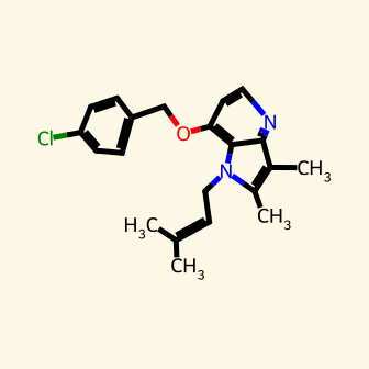 CC(C)=CCn1c(C)c(C)c2nccc(OCc3ccc(Cl)cc3)c21